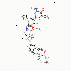 COc1cc(-c2cc(C)c(=O)n(C)n2)cc(OC)c1CN1CCC2(CC1)CN(c1ccc3c(c1)C(=O)N(C1CCC(=O)NC1=O)C3)C2